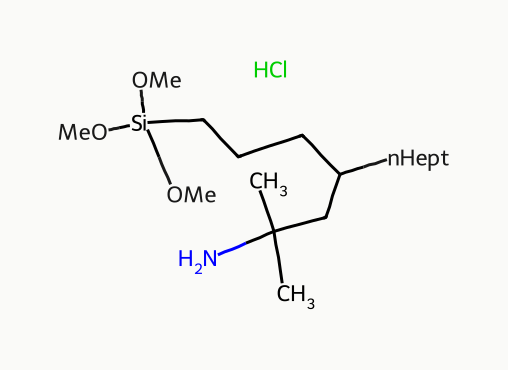 CCCCCCCC(CCC[Si](OC)(OC)OC)CC(C)(C)N.Cl